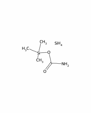 C[Si](C)(C)OC(N)=O.[SiH4]